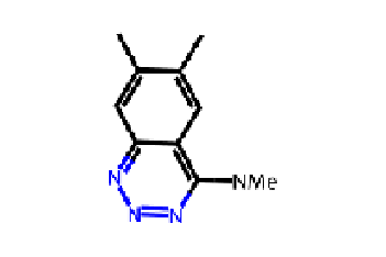 CNc1nnnc2cc(C)c(C)cc12